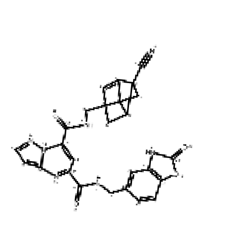 N#CC12CC34C1=CC3(CNC(=O)c1cc(C(=O)NCc3ccc5oc(=O)[nH]c5c3)nc3ccnn13)CC24